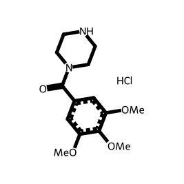 COc1cc(C(=O)N2CCNCC2)cc(OC)c1OC.Cl